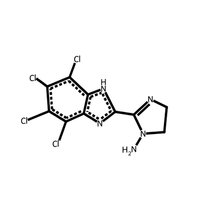 NN1CCN=C1c1nc2c(Cl)c(Cl)c(Cl)c(Cl)c2[nH]1